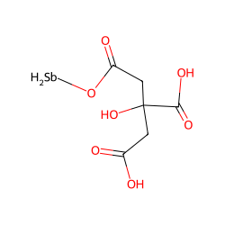 O=C(O)CC(O)(CC(=O)[O][SbH2])C(=O)O